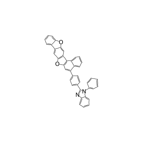 c1ccc(-n2c(-c3ccc(-c4cc5oc6cc7c(cc6c5c5ccccc45)oc4ccccc47)cc3)nc3ccccc32)cc1